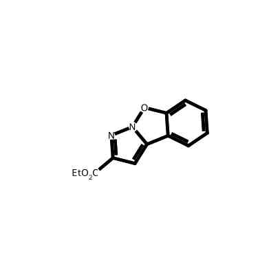 CCOC(=O)c1cc2c3ccccc3on2n1